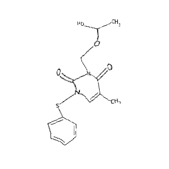 Cc1cn(Sc2ccccc2)c(=O)n(COC(C)O)c1=O